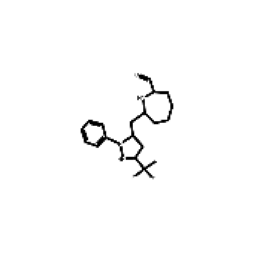 O=CC1CCCCC(CC2CC(C(F)(F)F)NN2c2ccccc2)N1